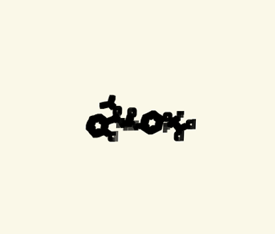 CC(C)O/C(=N\C(=O)Nc1ccc(OC(F)(F)C(Cl)Cl)cc1)c1ccccc1Cl